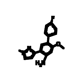 COc1cc(N)c(-c2ccn(C)n2)cc1-c1ccc(F)cc1